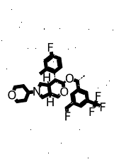 Cc1cc(F)ccc1[C@@H]1[C@@H](O[C@H](C)c2cc(CF)cc(C(F)(F)F)c2)OC[C@@H]2CN(C3CCOCC3)C[C@H]21